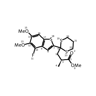 COC(=O)[C@@H](C)CC1(c2cc3c(F)c(OC)c(OC)cc3s2)SCCCS1